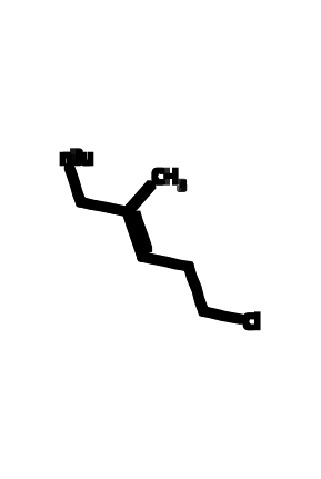 CCCCC/C(C)=C/CCCl